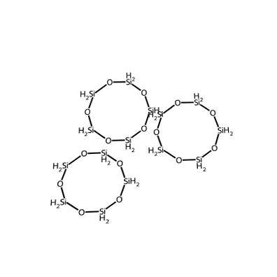 O1[SiH2]O[SiH2]O[SiH2]O[SiH2]O[SiH2]1.O1[SiH2]O[SiH2]O[SiH2]O[SiH2]O[SiH2]1.O1[SiH2]O[SiH2]O[SiH2]O[SiH2]O[SiH2]1